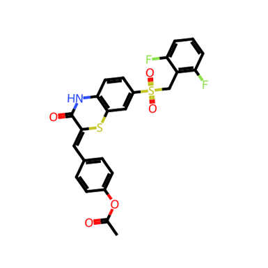 CC(=O)Oc1ccc(C=C2Sc3cc(S(=O)(=O)Cc4c(F)cccc4F)ccc3NC2=O)cc1